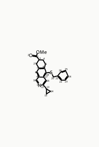 COC(=O)C1CCc2c(cc3cnc(C4CC4)cc3c2SCc2ccccc2)C1